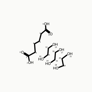 O=C(O)CCCCC(=O)O.OCCO.OCCO.OCCO